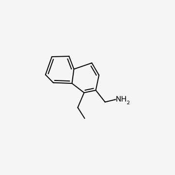 CCc1c(CN)ccc2ccccc12